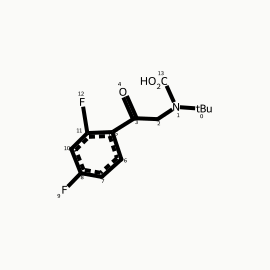 CC(C)(C)N(CC(=O)c1ccc(F)cc1F)C(=O)O